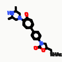 CC(=O)NCC1CN(c2ccc(-c3ccc(N4CC(C)NC(C)C4)c(=O)cc3)cc2)C(=O)O1